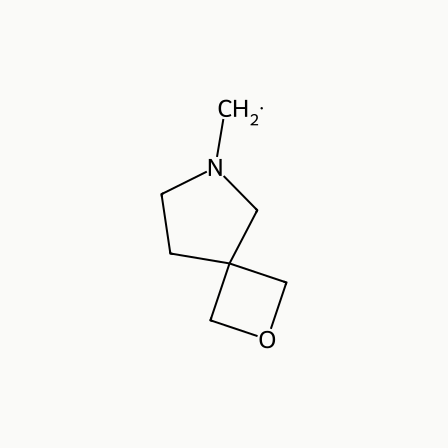 [CH2]N1CCC2(COC2)C1